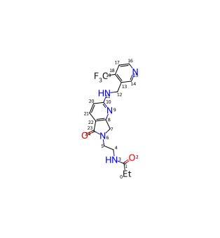 CCC(=O)NCCN1Cc2nc(NCc3cnccc3C(F)(F)F)ccc2C1=O